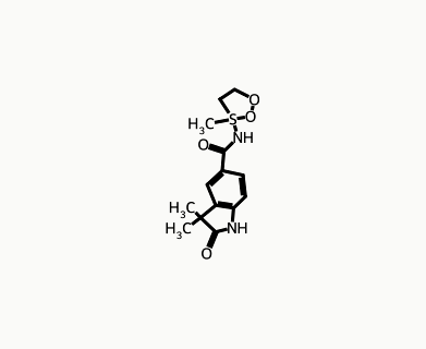 CC1(C)C(=O)Nc2ccc(C(=O)NS3(C)CCOO3)cc21